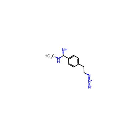 [N-]=[N+]=NCCc1ccc(C(=N)NC(=O)O)cc1